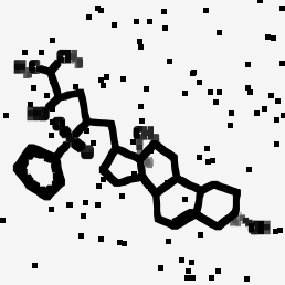 CC(C)C(O)CC(CC1CCC2C3CC=C4C[C@@H](O)CCC4C3CC[C@]12C)S(=O)(=O)c1ccccc1